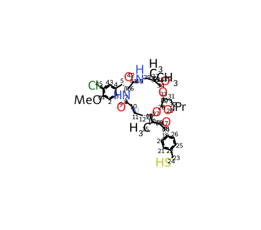 COc1ccc(C[C@H]2NC(=O)/C=C/C[C@@H]([C@H](C)[C@H]3O[C@@H]3c3ccc(CS)cc3)OC(=O)[C@H](CC(C)C)OC(=O)C(C)(C)CNC2=O)cc1Cl